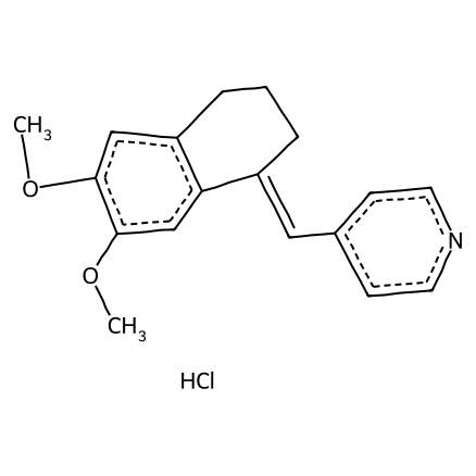 COc1cc2c(cc1OC)C(=Cc1ccncc1)CCC2.Cl